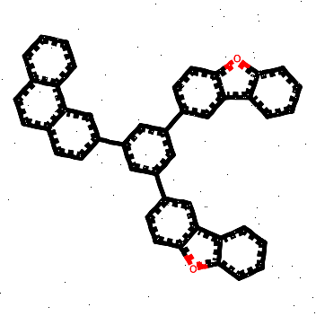 c1ccc2c(c1)ccc1ccc(-c3cc(-c4ccc5oc6ccccc6c5c4)cc(-c4ccc5oc6ccccc6c5c4)c3)cc12